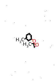 Cc1cccc(OC2(C)CO2)c1